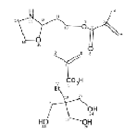 C=C(C)C(=O)O.C=C(C)C(=O)OCCC1NCCO1.CCC(CO)(CO)CO